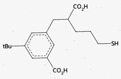 CC(C)(C)c1cc(CC(CCCS)C(=O)O)cc(C(=O)O)c1